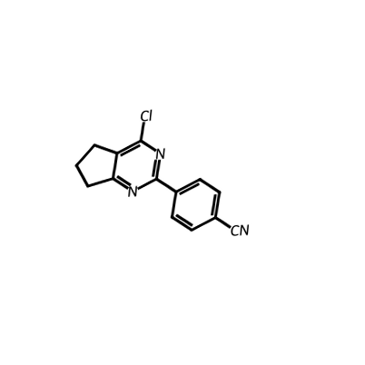 N#Cc1ccc(-c2nc(Cl)c3c(n2)CCC3)cc1